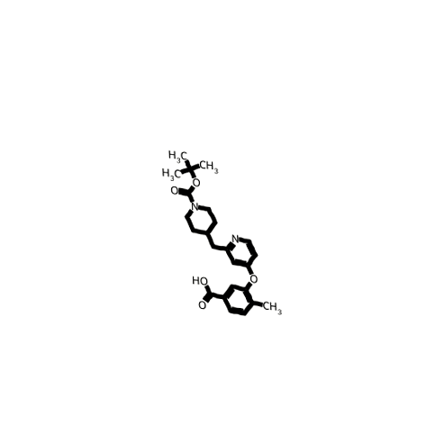 Cc1ccc(C(=O)O)cc1Oc1ccnc(CC2CCN(C(=O)OC(C)(C)C)CC2)c1